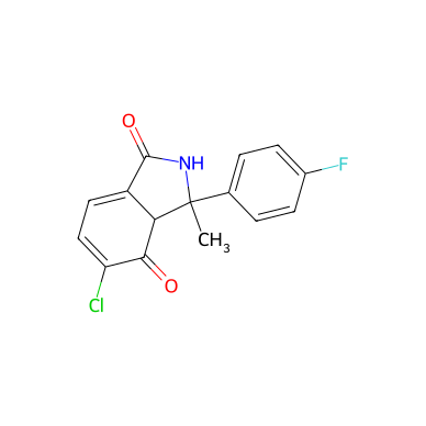 CC1(c2ccc(F)cc2)NC(=O)C2=CC=C(Cl)C(=O)C21